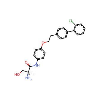 C[C@](N)(CO)C(=O)Nc1ccc(OCCc2ccc(-c3ccccc3Cl)cc2)cc1